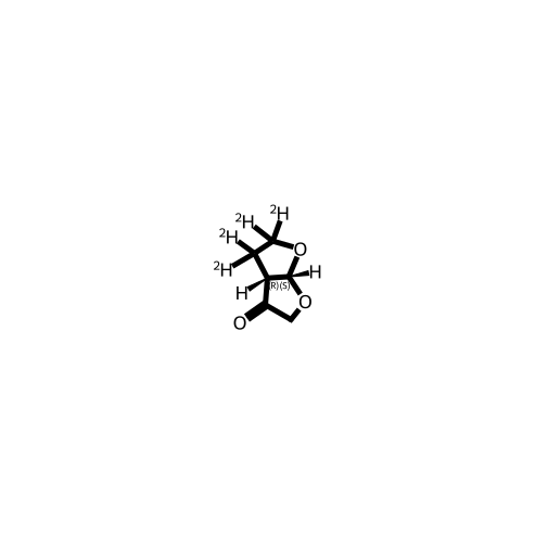 [2H]C1([2H])O[C@@H]2OCC(=O)[C@@H]2C1([2H])[2H]